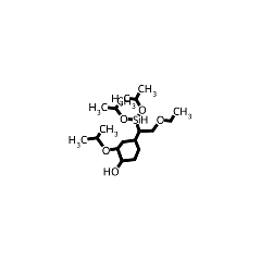 CCOCC(C1CCC(O)C(OC(C)C)C1)[SiH](OC(C)C)OC(C)C